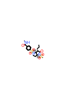 CCC[C@H]1C(=O)N(S(C)(=O)=O)[C@H]2CCN(S(=O)(=O)c3ccc(C(=O)NC)cc3)[C@H]12